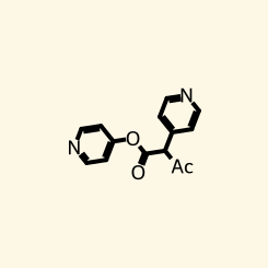 CC(=O)C(C(=O)Oc1ccncc1)c1ccncc1